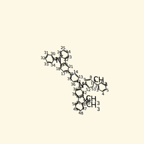 CC1(c2ccccc2)C=CC(N(c2ccc(-c3ccc4c(c3)c3ccccc3n4-c3ccccc3)cc2)c2ccc3c(c2)C(C)(C)c2ccccc2-3)=CC1